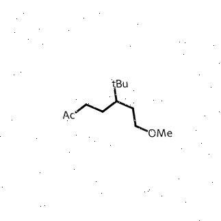 COCCC(CCC(C)=O)C(C)(C)C